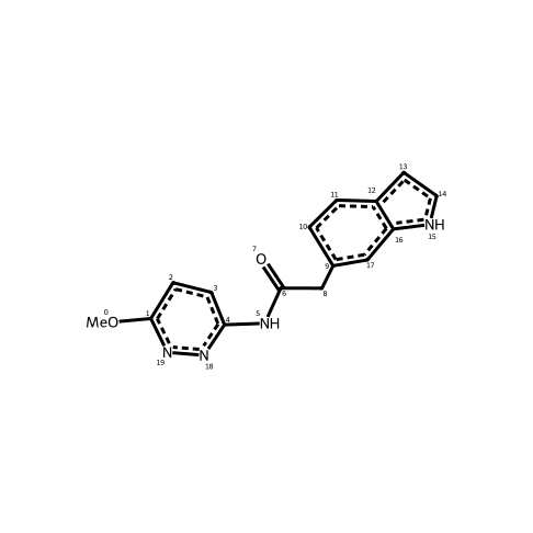 COc1ccc(NC(=O)Cc2ccc3cc[nH]c3c2)nn1